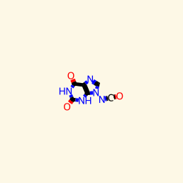 O=C=Nn1cnc2c(=O)[nH]c(=O)[nH]c21